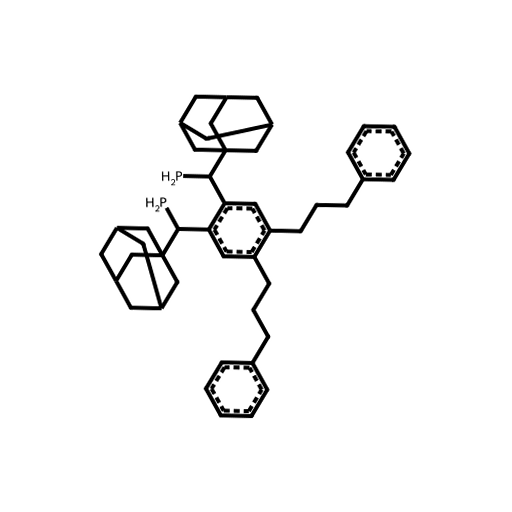 PC(c1cc(CCCc2ccccc2)c(CCCc2ccccc2)cc1C(P)C12CC3CC(CC(C3)C1)C2)C12CC3CC(CC(C3)C1)C2